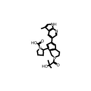 Cc1c[nH]c2ncc(-c3cc4c(c(C5CCCN5C(=O)O)c3)CN(C(=O)C(C)(C)O)CC4)cc12